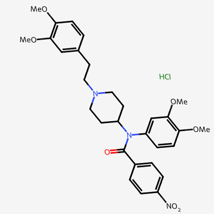 COc1ccc(CCN2CCC(N(C(=O)c3ccc([N+](=O)[O-])cc3)c3ccc(OC)c(OC)c3)CC2)cc1OC.Cl